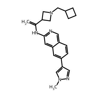 C=C(Nc1cc2cc(-c3cnn(C)c3)ccc2cn1)C1CN(CC2CCC2)C1